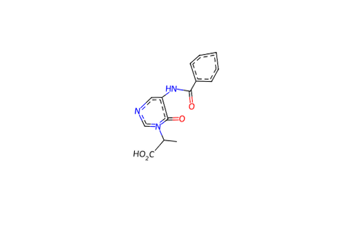 CC(C(=O)O)n1cncc(NC(=O)c2ccccc2)c1=O